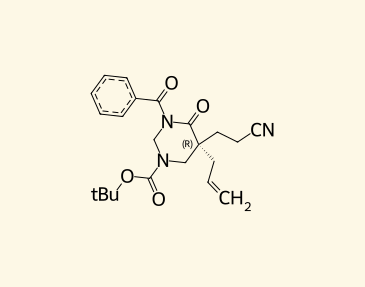 C=CC[C@]1(CCC#N)CN(C(=O)OC(C)(C)C)CN(C(=O)c2ccccc2)C1=O